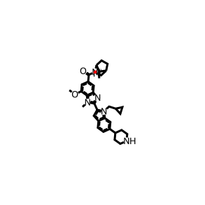 COc1cc(C(=O)N2CC3CCC2[C@@H]3C)cc2nc(-c3cc4ccc(C5CCNCC5)cc4n3CC3CC3)n(C)c12